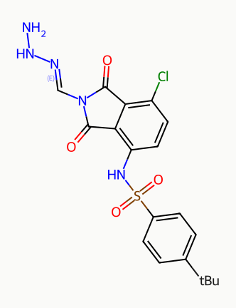 CC(C)(C)c1ccc(S(=O)(=O)Nc2ccc(Cl)c3c2C(=O)N(/C=N/NN)C3=O)cc1